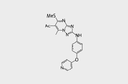 CSc1nc2nc(Nc3ccc(Oc4ccncc4)cc3)nn2c(C)c1C(C)=O